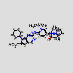 CNC.O=C(O)c1cc2cnc(Nc3ccc(N4C[C@H]5CC[C@@H](CC4=O)N5)cn3)nc2n1C1CCCCC1